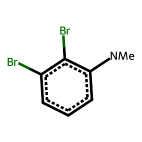 CNc1cccc(Br)c1Br